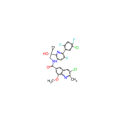 COc1cc(C(=O)NC[C@](O)(c2ccc(F)c(-c3cc(Cl)c(F)cc3F)n2)C2CC2)cc2cc(Cl)c(C)nc12